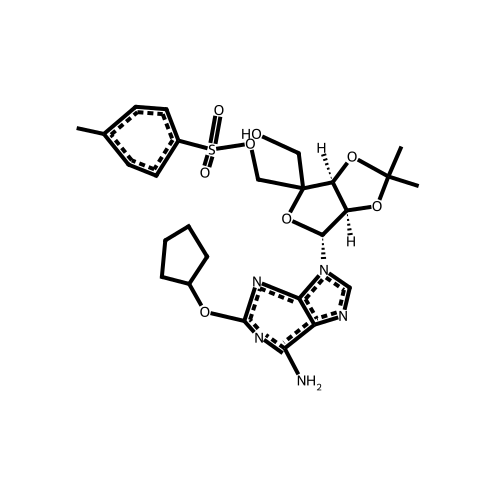 Cc1ccc(S(=O)(=O)OCC2(CO)O[C@@H](n3cnc4c(N)nc(OC5CCCC5)nc43)[C@@H]3OC(C)(C)O[C@@H]32)cc1